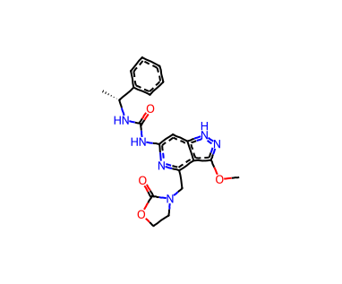 COc1n[nH]c2cc(NC(=O)N[C@H](C)c3ccccc3)nc(CN3CCOC3=O)c12